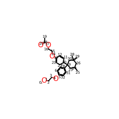 COCCOc1ccc(C2(C3C=CC(OCCOC(C)=O)=CC3)CC(C)CC(C)(C)C2)cc1